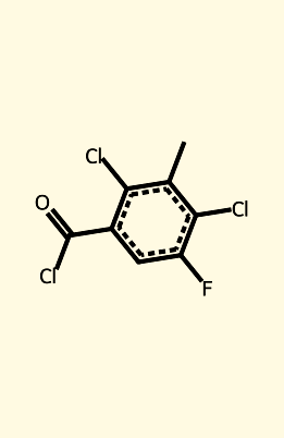 Cc1c(Cl)c(F)cc(C(=O)Cl)c1Cl